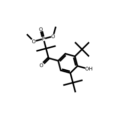 COP(=O)(OC)C(C)(C)C(=O)c1cc(C(C)(C)C)c(O)c(C(C)(C)C)c1